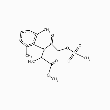 COC(=O)C(C)N(C(=O)COS(C)(=O)=O)c1c(C)cccc1C